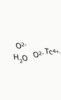 O.[O-2].[O-2].[Tc+4]